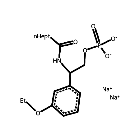 CCCCCCCC(=O)NC(COP(=O)([O-])[O-])c1cccc(OCC)c1.[Na+].[Na+]